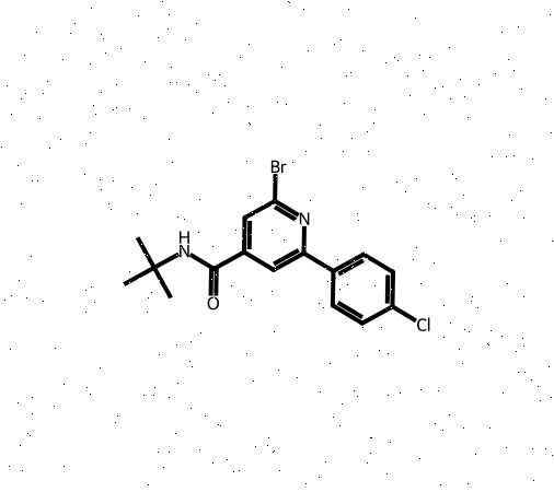 CC(C)(C)NC(=O)c1cc(Br)nc(-c2ccc(Cl)cc2)c1